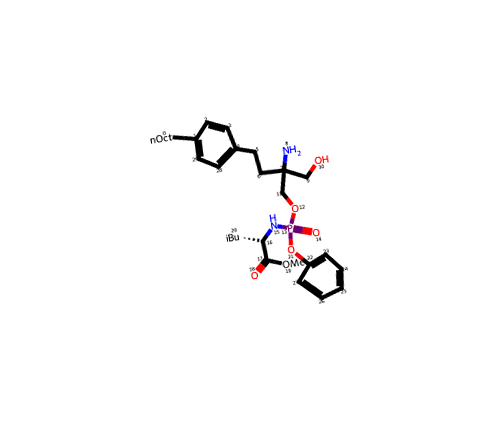 CCCCCCCCc1ccc(CCC(N)(CO)COP(=O)(NC(C(=O)OC)[C@@H](C)CC)Oc2ccccc2)cc1